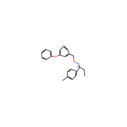 CCC(=NOCc1cccc(Oc2ccccc2)c1)c1ccc(C)cc1